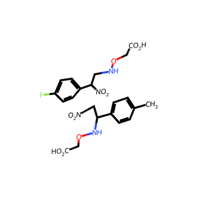 Cc1ccc(C(C[N+](=O)[O-])NOCC(=O)O)cc1.O=C(O)CONCC(c1ccc(F)cc1)[N+](=O)[O-]